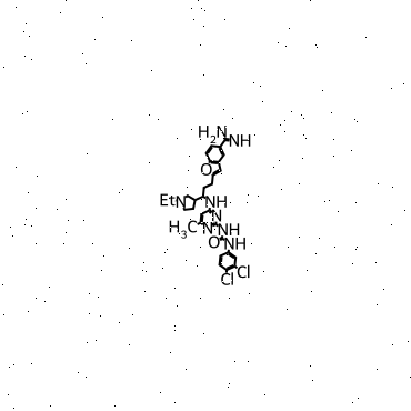 CCN1CCC(C(CCc2cc3cc(C(=N)N)ccc3o2)Nc2cc(C)nc(NC(=O)Nc3ccc(Cl)c(Cl)c3)n2)C1